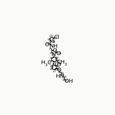 Cc1cc(N2CC(CNC(=O)C3=CCC(Cl)S3)OC2=O)cc(C)c1-n1cccc(OCCNCCO)c1=O